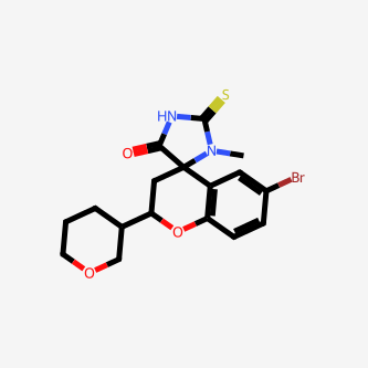 CN1C(=S)NC(=O)C12CC(C1CCCOC1)Oc1ccc(Br)cc12